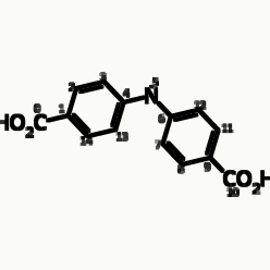 O=C(O)c1ccc([N]c2ccc(C(=O)O)cc2)cc1